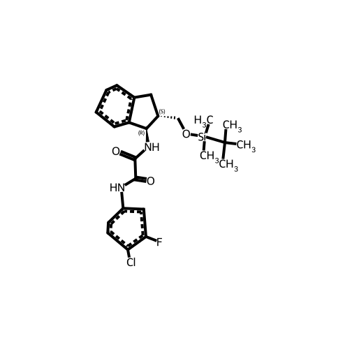 CC(C)(C)[Si](C)(C)OC[C@H]1Cc2ccccc2[C@@H]1NC(=O)C(=O)Nc1ccc(Cl)c(F)c1